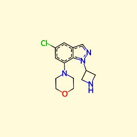 Clc1cc(N2CCOCC2)c2c(cnn2C2CNC2)c1